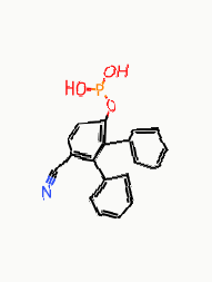 N#Cc1ccc(OP(O)O)c(-c2ccccc2)c1-c1ccccc1